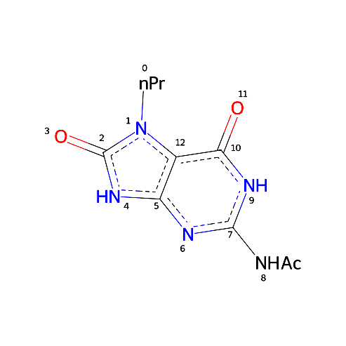 CCCn1c(=O)[nH]c2nc(NC(C)=O)[nH]c(=O)c21